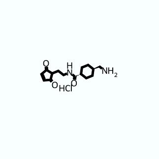 Cl.NC[C@H]1CC[C@H](C(=O)NCCC2C(=O)C=CC2=O)CC1